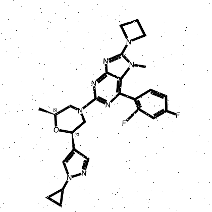 C[C@H]1CN(c2nc(-c3ccc(F)cc3F)c3c(n2)nc(N2CCC2)n3C)C[C@@H](c2cnn(C3CC3)c2)O1